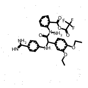 CCOc1ccc(C(Nc2ccc(C(=N)N)cc2)C(=O)N(N)c2ccccc2C(=O)OC(=O)C(F)(F)F)cc1OCC